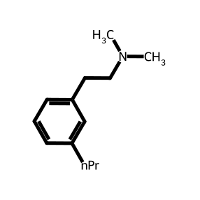 CCCc1cccc(CCN(C)C)c1